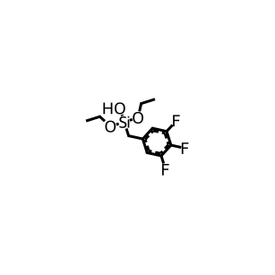 CCO[Si](O)(Cc1cc(F)c(F)c(F)c1)OCC